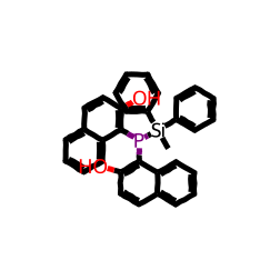 C[Si](c1ccccc1)(c1ccccc1)P(c1c(O)ccc2ccccc12)c1c(O)ccc2ccccc12